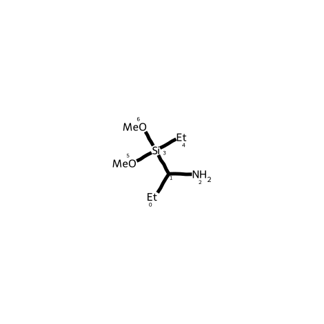 CCC(N)[Si](CC)(OC)OC